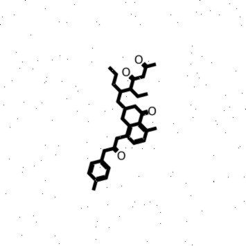 CCCC(CC1CC(=O)c2c(C)ccc(CC(=O)Cc3ccc(C)cc3)c2C1)C(CC)C(=O)CC(C)=O